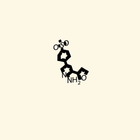 CS(=O)(=O)c1ccc(-c2cnc(N)c(-c3ccoc3)c2)cc1